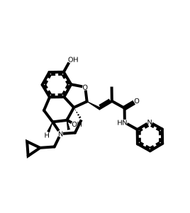 C/C(=C\[C@@H]1Oc2c(O)ccc3c2[C@@]12CCN(CC1CC1)[C@H](C3)[C@@]2(C)O)C(=O)Nc1ccccn1